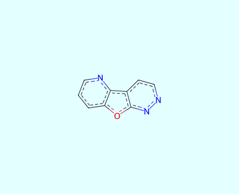 c1cnc2c(c1)oc1nnccc12